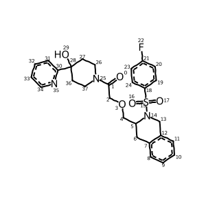 O=C(COCC1Cc2ccccc2CN1S(=O)(=O)c1ccc(F)cc1)N1CCC(O)(c2ccccn2)CC1